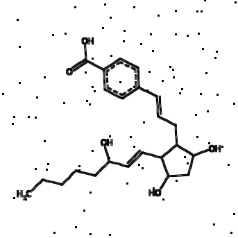 CCCCCC(O)C=CC1C(O)CC(O)C1CC=Cc1ccc(C(=O)O)cc1